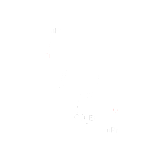 CCCOc1ccc(OCCC)c(C(=O)OCC)c1